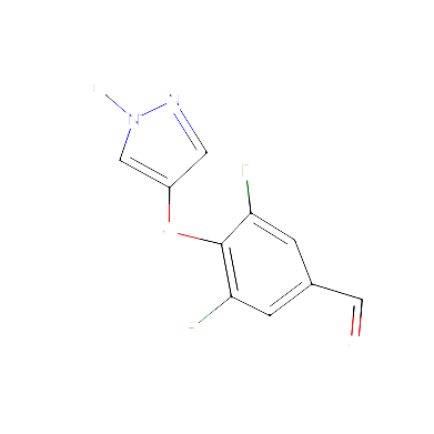 Cn1cc(Oc2c(F)cc(C=O)cc2F)cn1